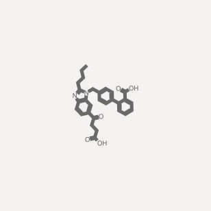 CCCCc1nc2ccc(C(=O)CCC(=O)O)cc2n1Cc1ccc(-c2ccccc2C(=O)O)cc1